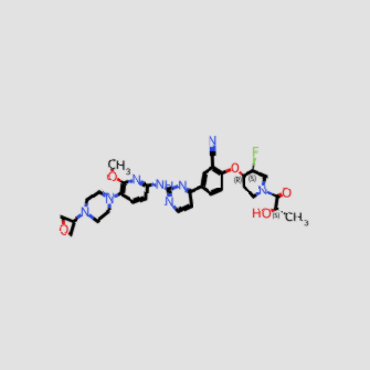 COc1nc(Nc2nccc(-c3ccc(O[C@@H]4CCN(C(=O)[C@H](C)O)C[C@@H]4F)c(C#N)c3)n2)ccc1N1CCN(C2COC2)CC1